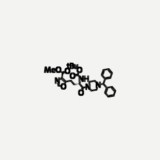 COC(=O)c1ncoc1CC[C@H](NC(=O)OC(C)(C)C)C(=O)N1CCN(C(c2ccccc2)c2ccccc2)CC1